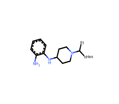 CCCCCCC(CC)N1CCC(Nc2ccccc2N)CC1